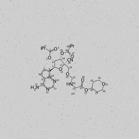 CC(C)C(=O)O[C@H]1[C@H](c2ccc3c(N)ncnn23)O[C@](C#N)(COCN[C@@H](C)C(=O)OC2CCOCC2)[C@H]1OC(=O)C(C)C